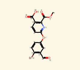 COC(=O)c1nc(Oc2ccc(Br)c(C=O)c2)ccc1C(=O)O